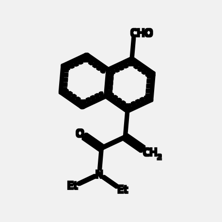 C=C(C(=O)N(CC)CC)c1ccc(C=O)c2ccccc12